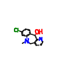 CN1Cc2cccnc2C(O)c2ccc(Cl)cc21